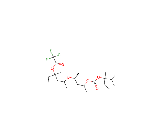 CCC(C)(CC(C)O[C@@H](C)CC(C)OC(=O)OC(C)(CC)C(C)C)OC(=O)C(F)(F)F